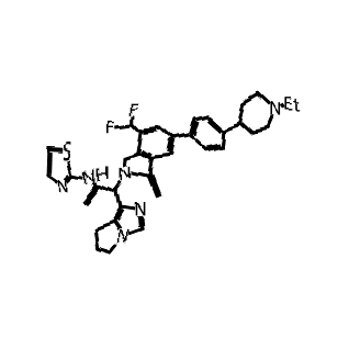 C=C(Nc1nccs1)C(c1ncn2c1CCC2)N1Cc2c(cc(-c3ccc(C4CCN(CC)CC4)cc3)cc2C(F)F)C1=C